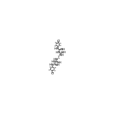 N=C(NCCNC(=N)NC(=N)Nc1ccc(Cl)cc1)NC(=N)Nc1ccc(Cl)cc1